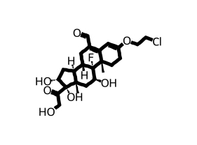 C[C@]12CCC(OCCCl)=CC1=C(C=O)C[C@H]1[C@@H]3C[C@@H](O)[C@](O)(C(=O)CO)[C@@]3(C)C[C@H](O)[C@@]12F